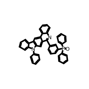 O=P(c1ccccc1)(c1ccccc1)c1cccc(-c2nc3ccccc3c3cc4c5ccccc5n(-c5ccccc5)c4cc23)c1